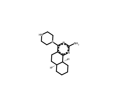 Nc1nc2c(c(N3CCNCC3)n1)CC[C@@H]1CCCC[C@H]21